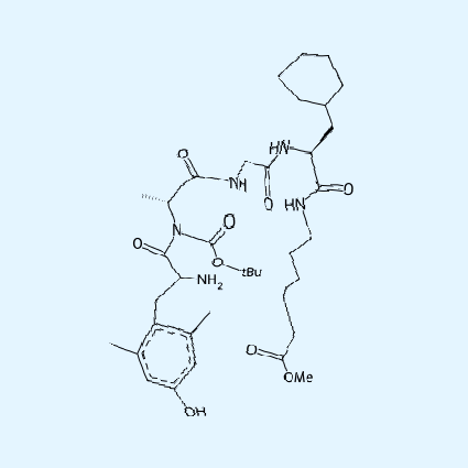 COC(=O)CCCCCNC(=O)[C@H](CC1CCCCC1)NC(=O)CNC(=O)[C@@H](C)N(C(=O)OC(C)(C)C)C(=O)C(N)Cc1c(C)cc(O)cc1C